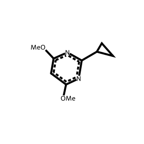 COc1cc(OC)nc(C2CC2)n1